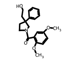 COc1ccc(OC)c(C(=O)N2CCC(CCO)(c3ccccc3)C2)c1